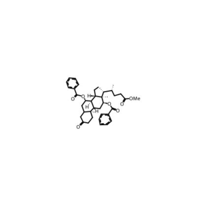 COC(=O)CC[C@@H](C)[C@H]1CC[C@H]2[C@@H]3[C@H](OC(=O)c4ccccc4)CC4CC(=O)CC[C@]4(C)[C@H]3C[C@H](OC(=O)c3ccccc3)[C@]12C